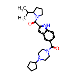 CC(C)C1CCCN1C(=O)c1cc2cc(C(=O)N3CCN(C4CCCC4)CC3)ccc2[nH]1